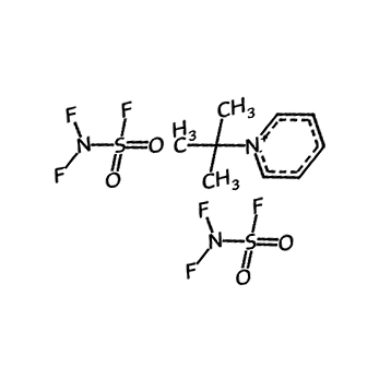 CC(C)(C)[n+]1ccccc1.O=S(=O)(F)N(F)F.O=S(=O)(F)N(F)F